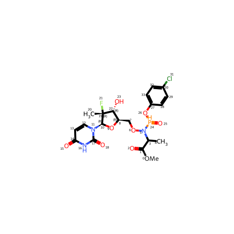 COC(=O)C(C)N(OC[C@H]1O[C@@H](n2ccc(=O)[nH]c2=O)[C@](C)(F)[C@@H]1O)[PH](=O)Oc1ccc(Cl)cc1